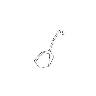 C=C=C1CC2CC=C1C2